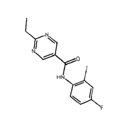 CCc1ncc(C(=O)Nc2ccc(F)cc2I)cn1